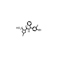 CC(C)c1ccc([C@@H](NC(=O)C2CC(F)CN2C(=O)O)c2ccccc2)cc1F